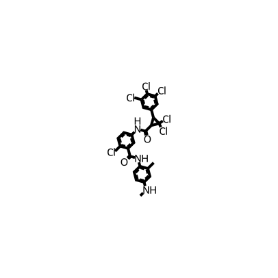 CNc1ccc(NC(=O)c2cc(NC(=O)C3C(c4cc(Cl)c(Cl)c(Cl)c4)C3(Cl)Cl)ccc2Cl)c(C)c1